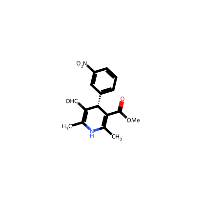 COC(=O)C1=C(C)NC(C)=C([C]=O)[C@@H]1c1cccc([N+](=O)[O-])c1